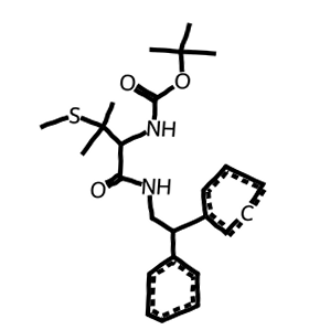 CSC(C)(C)C(NC(=O)OC(C)(C)C)C(=O)NCC(c1ccccc1)c1ccccc1